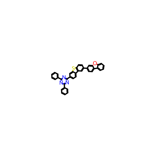 c1ccc(-c2nc(-c3ccccc3)nc(-c3ccc4c(c3)sc3ccc(-c5ccc6c(c5)oc5ccccc56)cc34)n2)cc1